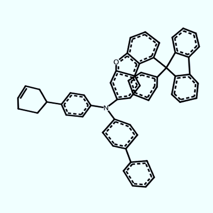 C1=CCC(c2ccc(N(c3ccc(-c4ccccc4)cc3)c3ccc4c(c3)oc3cccc(C5(c6ccccc6)c6ccccc6-c6ccccc65)c34)cc2)CC1